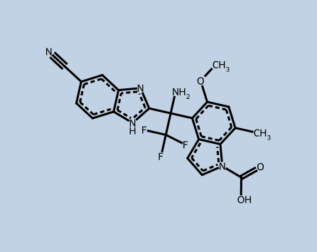 COc1cc(C)c2c(ccn2C(=O)O)c1C(N)(c1nc2cc(C#N)ccc2[nH]1)C(F)(F)F